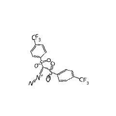 [N-]=[N+]=C(S(=O)(=O)c1ccc(C(F)(F)F)cc1)S(=O)(=O)c1ccc(C(F)(F)F)cc1